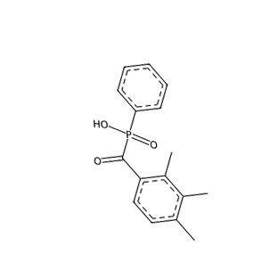 Cc1ccc(C(=O)P(=O)(O)c2ccccc2)c(C)c1C